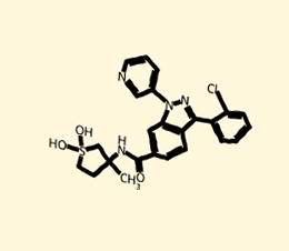 CC1(NC(=O)c2ccc3c(-c4ccccc4Cl)nn(-c4cccnc4)c3c2)CCS(O)(O)C1